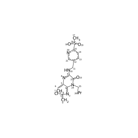 C=C(Cl)/N=C1\C(=C/C)N=C(NCc2ccc(S(C)(=O)=O)nc2)C(=O)N1CC(C)C